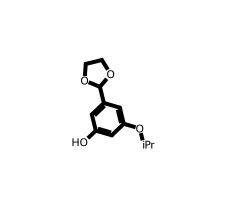 CC(C)Oc1cc(O)cc(C2OCCO2)c1